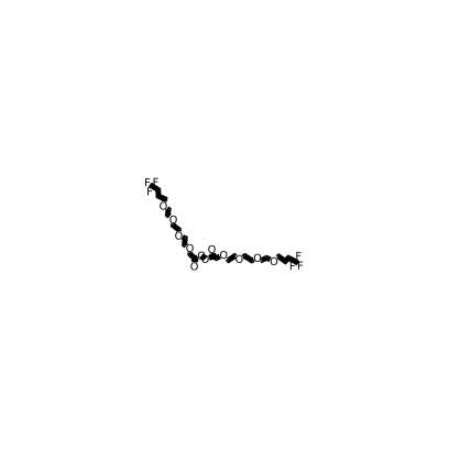 O=C(COCCOCCOCCOCCCC(F)(F)F)OOC(=O)COCCOCCOCCOCCCC(F)(F)F